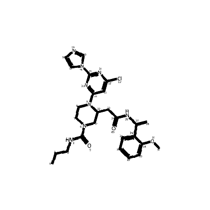 CCCNC(=O)N1CCN(c2cc(Cl)nc(-n3ccnc3)n2)C(CC(=O)NC(C)c2ccccc2OC)C1